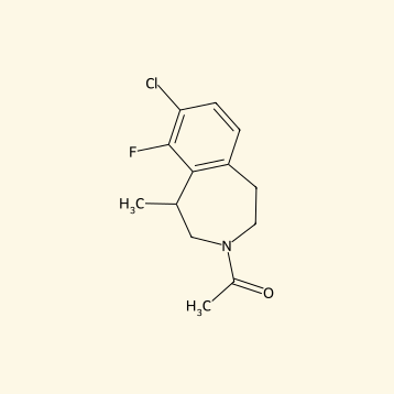 CC(=O)N1CCc2ccc(Cl)c(F)c2C(C)C1